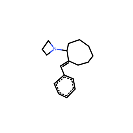 C(=C1CCCCCCC1N1CCC1)c1ccccc1